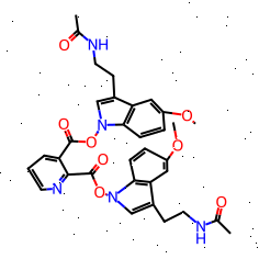 COc1ccc2c(c1)c(CCNC(C)=O)cn2OC(=O)c1cccnc1C(=O)On1cc(CCNC(C)=O)c2cc(OC)ccc21